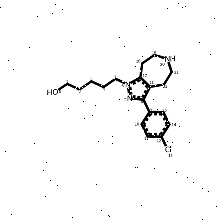 OCCCCCn1nc(-c2ccc(Cl)cc2)c2c1CCNCC2